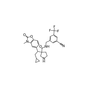 Cn1c(=O)oc2ccc(C(CC3CC3)C3(C(=O)NCc4cc(C#N)cc(C(F)(F)F)c4)CCNC3)cc21